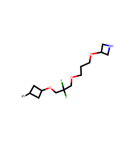 CC(C)C1CC(OCC(F)(F)COCCCOC2CNC2)C1